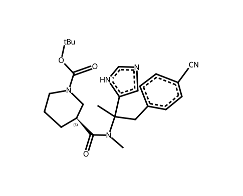 CN(C(=O)[C@H]1CCCN(C(=O)OC(C)(C)C)C1)C(C)(Cc1ccc(C#N)cc1)c1cnc[nH]1